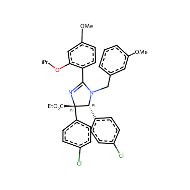 CCOC(=O)[C@@]1(c2ccc(Cl)cc2)N=C(c2ccc(OC)cc2OC(C)C)N(Cc2cccc(OC)c2)[C@@H]1c1ccc(Cl)cc1